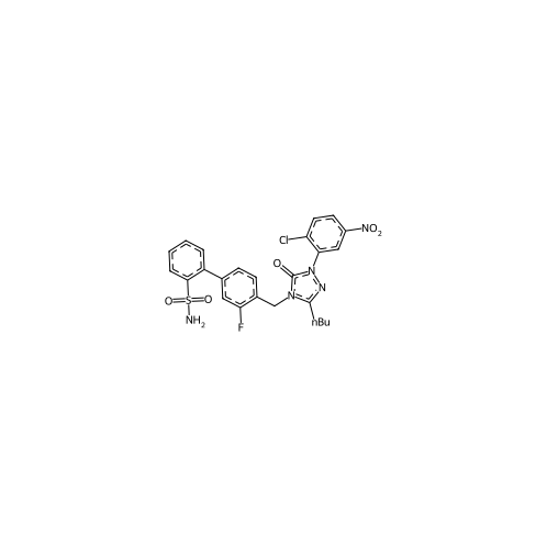 CCCCc1nn(-c2cc([N+](=O)[O-])ccc2Cl)c(=O)n1Cc1ccc(-c2ccccc2S(N)(=O)=O)cc1F